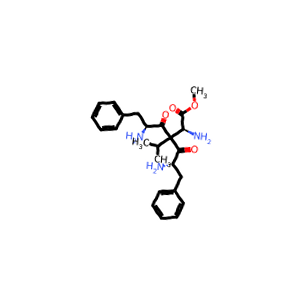 COC(=O)[C@@H](N)C(C(=O)[C@@H](N)Cc1ccccc1)(C(=O)[C@@H](N)Cc1ccccc1)C(C)C